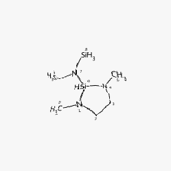 CN1CCN(C)[SiH]1N([SiH3])[SiH3]